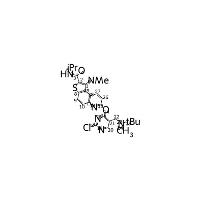 CNc1c(C(=O)NC(C)C)sc2ccc3nc(Oc4nc(Cl)ncc4CN(C)C(C)(C)C)ccc3c12